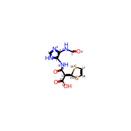 O=CNc1nc[nH]c1NC(=O)C(C(=O)O)=C1SC=CS1